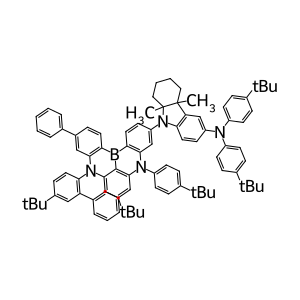 CC(C)(C)c1ccc(N(c2ccc(C(C)(C)C)cc2)c2ccc3c(c2)C2(C)CCCCC2(C)N3c2ccc3c(c2)N(c2ccc(C(C)(C)C)cc2)c2cc(C(C)(C)C)cc4c2B3c2ccc(-c3ccccc3)cc2N4c2ccc(C(C)(C)C)cc2-c2ccccc2)cc1